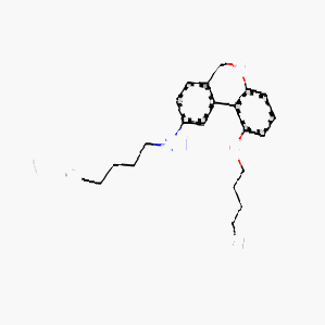 CCCCCNc1ccc2c(c1)-c1c(OCCCCC)cccc1OC2